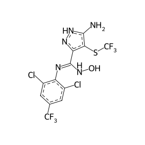 Nc1[nH]nc(C(=Nc2c(Cl)cc(C(F)(F)F)cc2Cl)NO)c1SC(F)(F)F